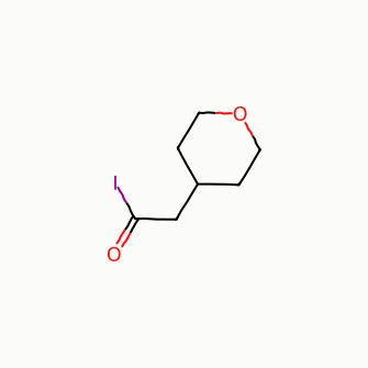 O=C(I)CC1CCOCC1